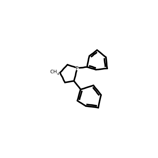 C.c1ccc(C2CCCP2c2ccccc2)cc1